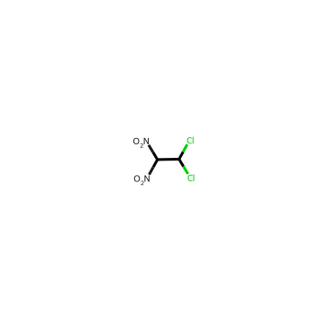 O=[N+]([O-])C(C(Cl)Cl)[N+](=O)[O-]